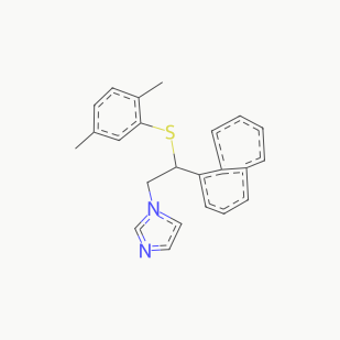 Cc1ccc(C)c(SC(Cn2ccnc2)c2cccc3ccccc23)c1